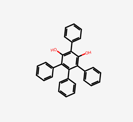 Oc1c(-c2ccccc2)c(O)c(-c2ccccc2)c(-c2ccccc2)c1-c1ccccc1